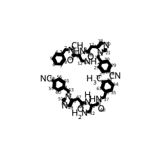 CN(Cc1ccccc1)C(=O)C(CN)NC(=O)Cc1cncn1Cc1ccc(C#N)cc1.Cc1cccc(CNC(=O)C(CN)NC(=O)Cc2cncn2Cc2ccc(C#N)cc2)c1